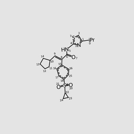 [CH2]C([CH2])c1csc(NC(=O)/C(=C/C2CCCC2)c2ccc(S(=O)(=O)C3CC3)cc2)n1